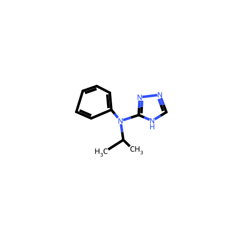 CC(C)N(c1ccccc1)c1nnc[nH]1